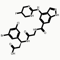 O=C(O)C[C@H](NC(=O)CNC(=O)c1cc(NC2=NCC(F)CN2)c2cn[nH]c2c1)c1cc(Cl)cc(Br)c1